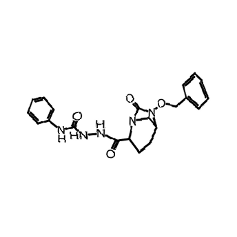 O=C(NNC(=O)C1CCC2CN1C(=O)N2OCc1ccccc1)Nc1ccccc1